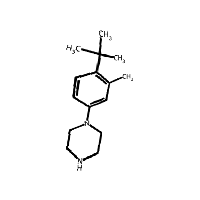 Cc1cc(N2CCNCC2)ccc1C(C)(C)C